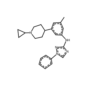 Cc1cc(Nc2ncn(-c3ccccc3)n2)cc(C2CCN(C3CC3)CC2)c1